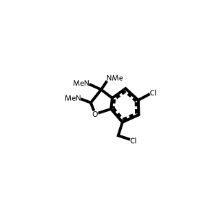 CNC1Oc2c(CCl)cc(Cl)cc2C1(NC)NC